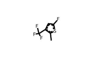 Cc1sc(F)cc1C(F)(F)F